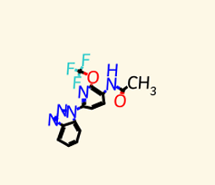 CC(=O)Nc1ccc(-n2nnc3ccccc32)nc1OC(F)(F)F